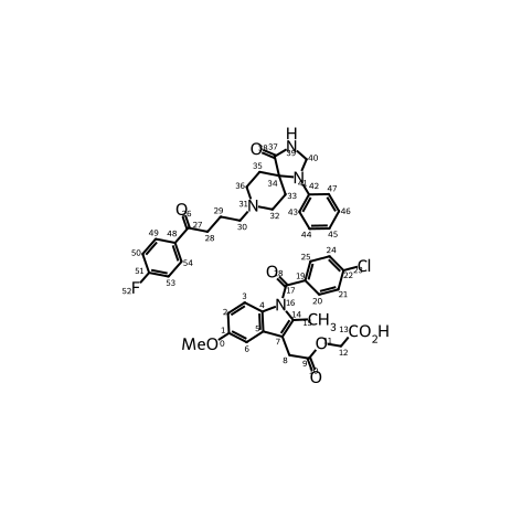 COc1ccc2c(c1)c(CC(=O)OCC(=O)O)c(C)n2C(=O)c1ccc(Cl)cc1.O=C(CCCN1CCC2(CC1)C(=O)NCN2c1ccccc1)c1ccc(F)cc1